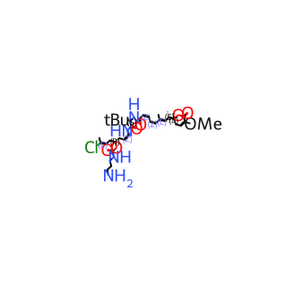 COC1=CC[C@@H]([C@@H](C)/C=C(C)/C=C\C=C/C(=O)N[C@H](C(=O)N/C=C\C[C@H](C/C=C(\C)Cl)OC(=O)NCCCN)C(C)(C)C)OC1=O